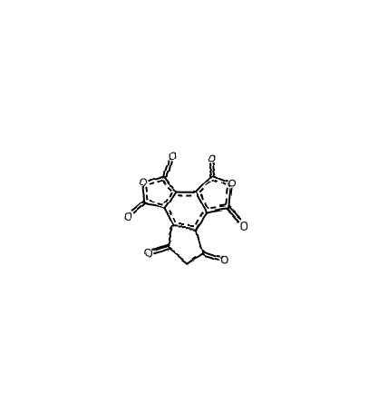 O=C1CC(=O)c2c1c1c(=O)oc(=O)c1c1c(=O)oc(=O)c21